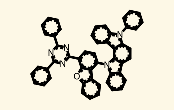 c1ccc(-c2nc(-c3ccccc3)nc(-c3ccc(-n4c5ccccc5c5ccc6c(c7ccccc7n6-c6ccccc6)c54)c4c3oc3ccccc34)n2)cc1